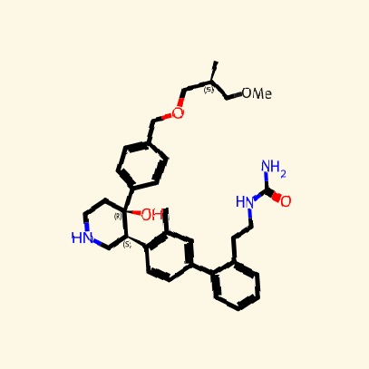 COC[C@H](C)COCc1ccc([C@@]2(O)CCNC[C@@H]2c2ccc(-c3ccccc3CCNC(N)=O)cc2C)cc1